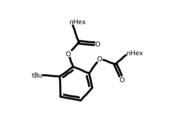 CCCCCCC(=O)Oc1cccc(C(C)(C)C)c1OC(=O)CCCCCC